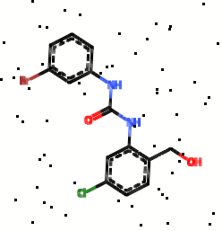 O=C(Nc1cccc(Br)c1)Nc1cc(Cl)ccc1CO